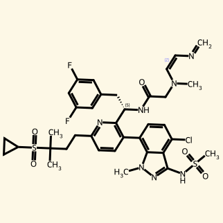 C=N/C=C\N(C)CC(=O)N[C@@H](Cc1cc(F)cc(F)c1)c1nc(CCC(C)(C)S(=O)(=O)C2CC2)ccc1-c1ccc(Cl)c2c(NS(C)(=O)=O)nn(C)c12